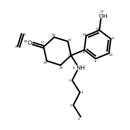 C=C.CCCCNC1(c2cccc(O)c2)CCC(=O)CC1